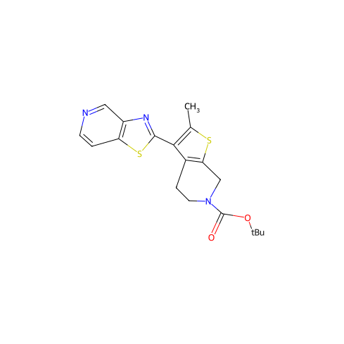 Cc1sc2c(c1-c1nc3cnccc3s1)CCN(C(=O)OC(C)(C)C)C2